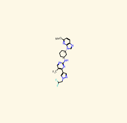 COc1ccc2ncn([C@H]3CCC[C@@H](Nc4ncc(C(F)(F)F)c(-c5cnn(CC(F)F)c5)n4)C3)c2n1